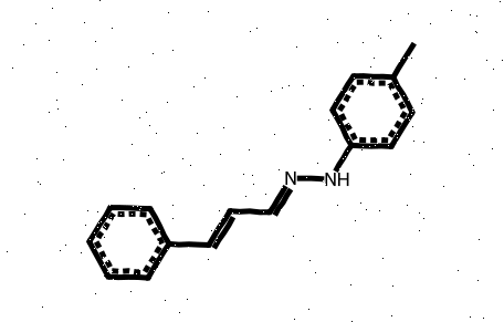 Cc1ccc(NN=C/C=C/c2ccccc2)cc1